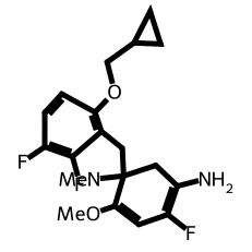 CNC1(Cc2c(OCC3CC3)ccc(F)c2F)CC(N)=C(F)C=C1OC